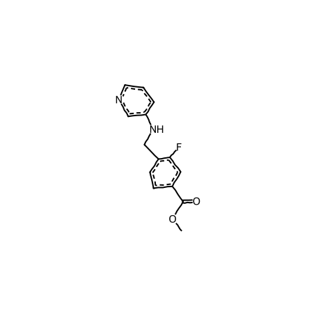 COC(=O)c1ccc(CNc2cccnc2)c(F)c1